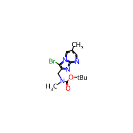 Cc1cnc2nc(CN(C)C(=O)OC(C)(C)C)c(Br)n2c1